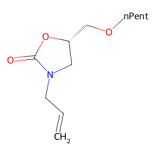 C=CCN1C[C@@H](COCCCCC)OC1=O